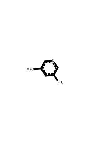 COc1[c]ncc(C)c1